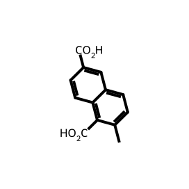 Cc1ccc2cc(C(=O)O)ccc2c1C(=O)O